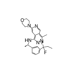 CCC(F)(F)c1cccc([C@@H](C)Nc2nnc(C)c3cnc(N4CCOCC4)cc23)c1